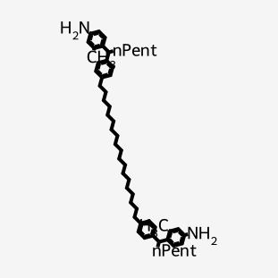 CCCCCC(c1ccc(CCCCCCCCCCCCCCCCCCCc2ccc(C(CCCCC)c3ccc(N)cc3C)cc2)cc1)c1ccc(N)cc1C